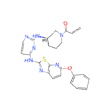 C=CC(=O)N1CCC[C@@H](Nc2nccc(Nc3nc4ccc(Oc5ccccc5)nc4s3)n2)C1